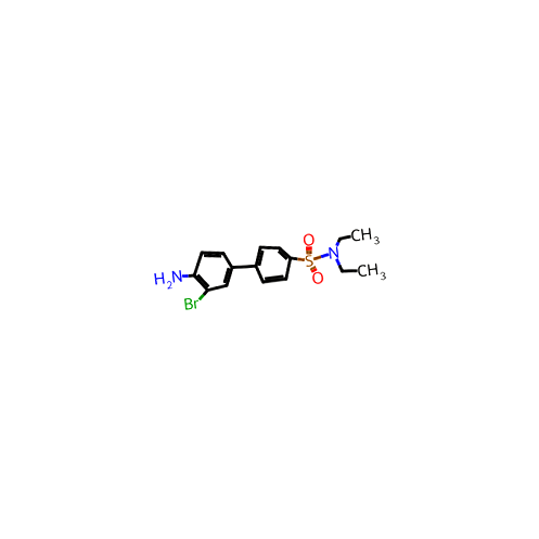 CCN(CC)S(=O)(=O)c1ccc(-c2ccc(N)c(Br)c2)cc1